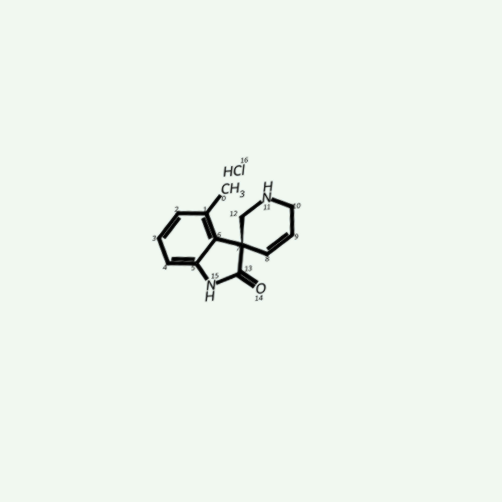 Cc1cccc2c1[C@]1(C=CCNC1)C(=O)N2.Cl